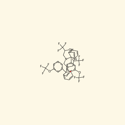 OC(CN(CN(CC(O)C(F)(F)F)C1(c2cccc(OC(F)(F)F)c2)C2=CC=CC1=C2)C1(c2cccc(OC(F)(F)F)c2)C2=CC=CC1=C2)C(F)(F)F